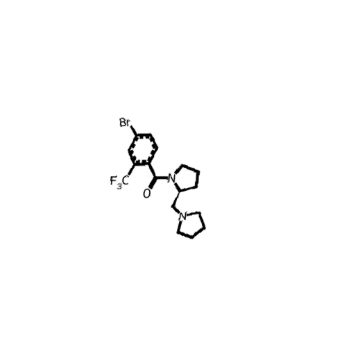 O=C(c1ccc(Br)cc1C(F)(F)F)N1CCC[C@H]1CN1CCCC1